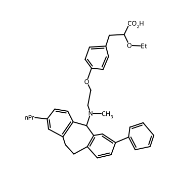 CCCc1ccc2c(c1)CCc1ccc(-c3ccccc3)cc1C2N(C)CCOc1ccc(CC(OCC)C(=O)O)cc1